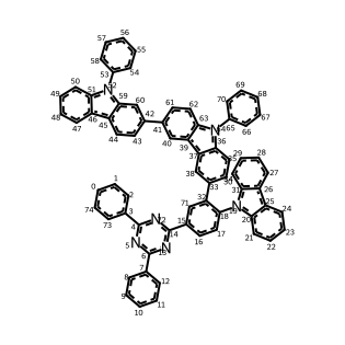 c1ccc(-c2nc(-c3ccccc3)nc(-c3ccc(-n4c5ccccc5c5ccccc54)c(-c4ccc5c(c4)c4cc(-c6ccc7c8ccccc8n(-c8ccccc8)c7c6)ccc4n5-c4ccccc4)c3)n2)cc1